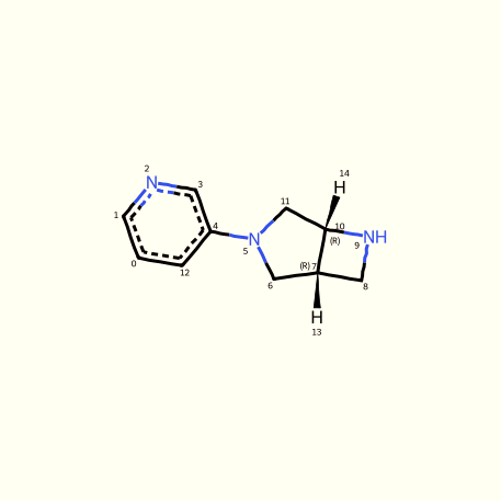 c1cncc(N2C[C@H]3CN[C@H]3C2)c1